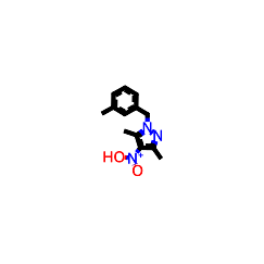 Cc1cccc(Cn2nc(C)c([N+](=O)O)c2C)c1